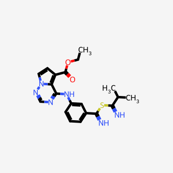 CCOC(=O)c1ccn2ncnc(Nc3cccc(C(=N)SC(=N)C(C)C)c3)c12